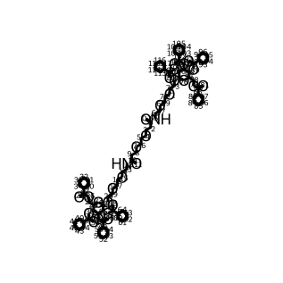 O=C(CCOCCOCCC(=O)NCCOCCOCCO[C@H]1OC(COC(=O)c2ccccc2)[C@@H](OC(=O)c2ccccc2)C(OC(=O)c2ccccc2)[C@H]1OC(=O)c1ccccc1)NCCOCCOCCO[C@H]1OC(COC(=O)c2ccccc2)[C@@H](OC(=O)c2ccccc2)C(OC(=O)c2ccccc2)[C@H]1OC(=O)c1ccccc1